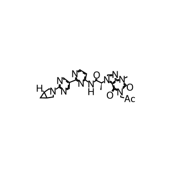 CC(=O)Cn1c(=O)c2c(ncn2[C@@H](C)C(=O)Nc2ccnc(-c3cnc(N4CC5C[C@@H]5C4)nc3)n2)n(C)c1=O